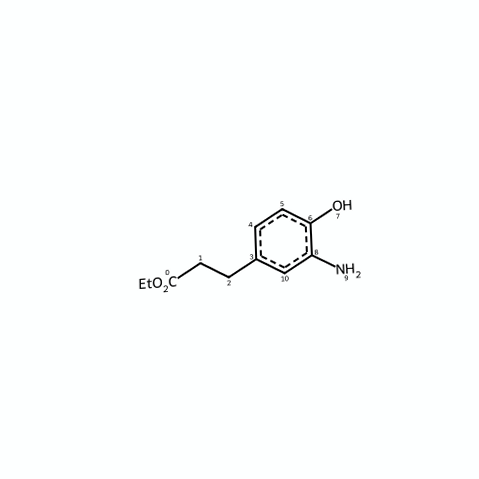 CCOC(=O)CCc1ccc(O)c(N)c1